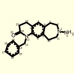 NN1CCc2cc3c(cc2CC1)N(Cc1ccccc1)C(=O)CC3